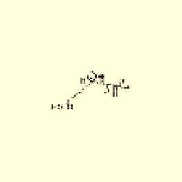 C=CC(=O)NCC(=O)NC[C@H]1[C@@H](CCCCCCC(=O)CO)[C@H]2CC[C@@H]1O2